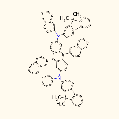 CC1(C)c2ccccc2-c2ccc(N(c3ccccc3)c3ccc4c(-c5ccc6ccccc6c5)c5cc(N(c6ccc7c(c6)C(C)(C)c6ccccc6-7)c6ccc7ccccc7c6)ccc5c(-c5ccc6ccccc6c5)c4c3)cc21